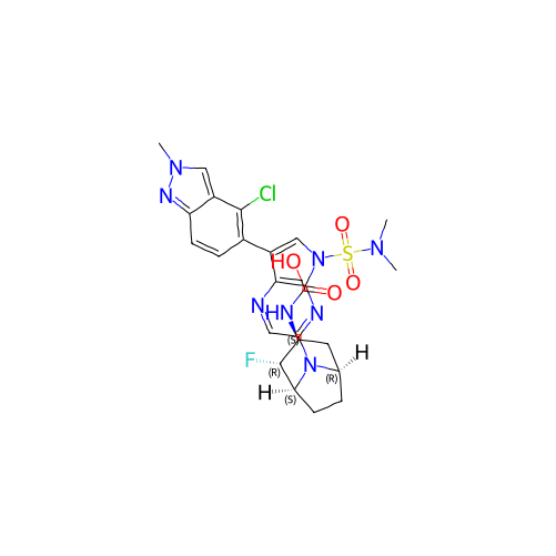 CN(C)S(=O)(=O)n1cc(-c2ccc3nn(C)cc3c2Cl)c2ncc(N3[C@@H]4CC[C@H]3[C@H](F)[C@@H](NC(=O)O)C4)nc21